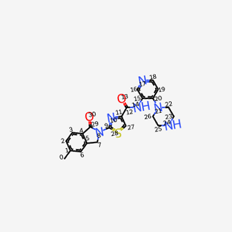 Cc1ccc2c(c1)CN(c1nc(C(=O)Nc3cnccc3N3CCNCC3)cs1)C2=O